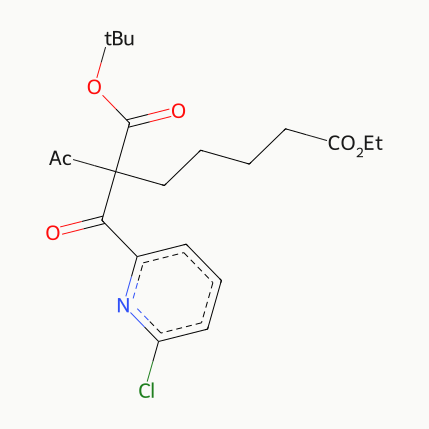 CCOC(=O)CCCCC(C(C)=O)(C(=O)OC(C)(C)C)C(=O)c1cccc(Cl)n1